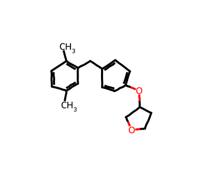 Cc1ccc(C)c(Cc2ccc(OC3CCOC3)cc2)c1